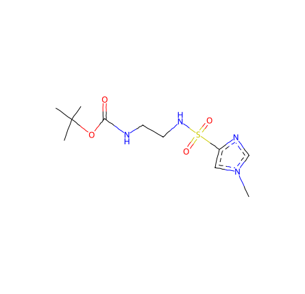 Cn1cnc(S(=O)(=O)NCCNC(=O)OC(C)(C)C)c1